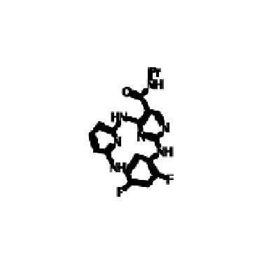 CC(C)NC(=O)c1cnc(Nc2ccc(F)cc2F)nc1Nc1cccc(N)n1